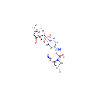 CC[C@H]1CC(=O)[C@@](C)(CS(=O)(=O)N2CCC(NCC(=O)N3C[C@H](F)C[C@@H]3C#N)CC2)C1(C)C